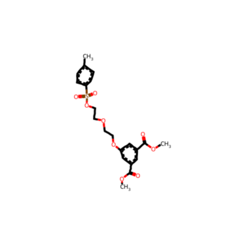 COC(=O)c1cc(OCCOCCOS(=O)(=O)c2ccc(C)cc2)cc(C(=O)OC)c1